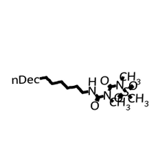 CCCCCCCCCCCCCCCCNC(=O)N(C)C(=O)N(C)S(C)(=O)=O